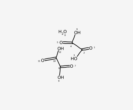 O.O=C(O)C(=O)O.O=C(O)C(=O)O